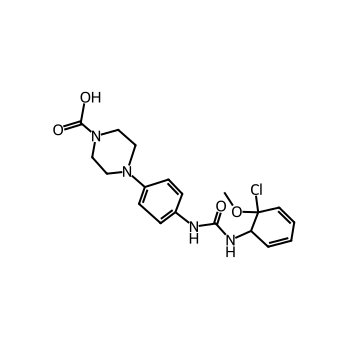 COC1(Cl)C=CC=CC1NC(=O)Nc1ccc(N2CCN(C(=O)O)CC2)cc1